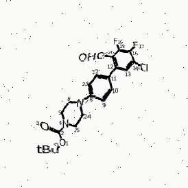 CC(C)(C)OC(=O)N1CCN(c2ccc(-c3cc(Cl)c(F)c(F)c3C=O)cc2)CC1